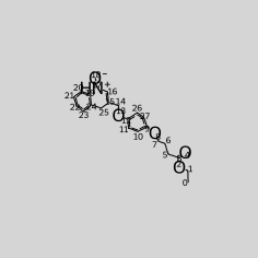 CCOC(=O)CCCOc1ccc(OCC2=C[NH+]([O-])c3ccccc3C2)cc1